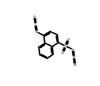 [N-]=[N+]=NS(=O)(=O)c1ccc(N=C=O)c2ccccc12